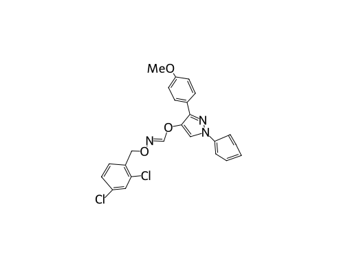 COc1ccc(-c2nn(-c3ccccc3)cc2O/C=N/OCc2ccc(Cl)cc2Cl)cc1